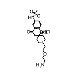 CS(=O)(=O)Nc1ccc2c(c1)C(=O)CC1(CCN(CCOCCN)CC1)O2.Cl.Cl